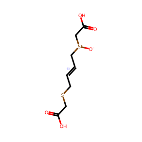 O=C(O)CSC/C=C/C[S+]([O-])CC(=O)O